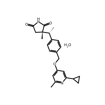 Cc1cc(OCc2ccc([C@@H](C)[C@]3(C)CC(=O)NC3=O)cc2)cc(C2CC2)n1.O